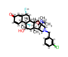 CN(C)C(=O)[C@@]12CN(Cc3cccc(Cl)c3)C[C@@H]1C[C@H]1[C@@H]3C[C@H](F)C4=CC(=O)C=C[C@]4(C)[C@@]3(F)[C@@H](O)C[C@@]12C